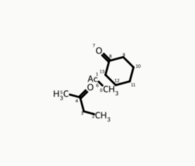 CC(C)=O.CCC(C)=O.O=C1CCCCC1